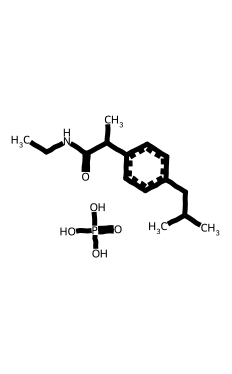 CCNC(=O)C(C)c1ccc(CC(C)C)cc1.O=P(O)(O)O